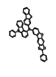 c1ccc(-c2nc3cc4c(cc3o2)oc2ccc(N(c3ccc5c(c3)sc3ccccc35)c3cccc5c3c3ccccc3n5-c3ccccc3)cc24)cc1